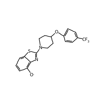 [O]c1cccc2sc(N3CCC(Oc4ccc(C(F)(F)F)cc4)CC3)nc12